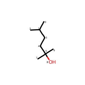 CC(C)C[CH]C(C)(C)O